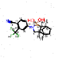 C[C@@]12[C@@H]3CC[C@@H](C3)[C@@H]1CN(c1ccc(C#N)c(C(F)(F)F)c1)S2(O)O